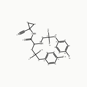 N#CC1(NC(=O)C(CC(F)(F)Cc2ccc(F)cc2)NCC(F)(F)Oc2ccc(F)cc2)CC1